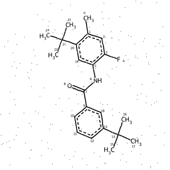 Cc1cc(F)c(NC(=O)c2cccc(C(C)(C)C)c2)cc1C(C)(C)C